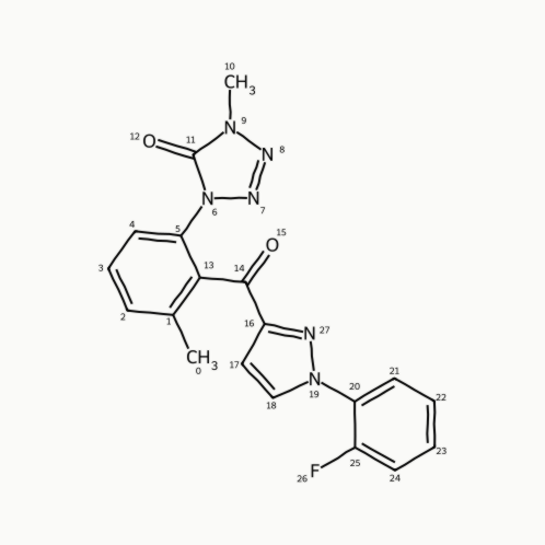 Cc1cccc(-n2nnn(C)c2=O)c1C(=O)c1ccn(-c2ccccc2F)n1